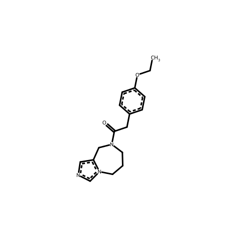 CCOc1ccc(CC(=O)N2CCCn3cncc3C2)cc1